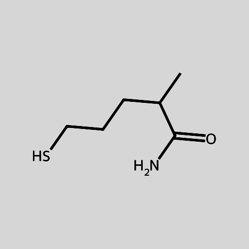 CC(CCCS)C(N)=O